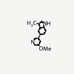 COc1cncc(-c2ccc3[nH][c]c(C)c3c2)c1